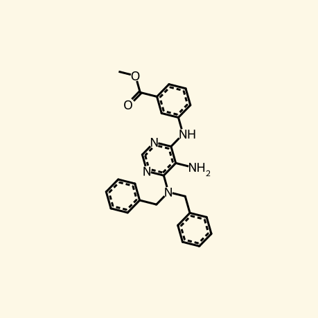 COC(=O)c1cccc(Nc2ncnc(N(Cc3ccccc3)Cc3ccccc3)c2N)c1